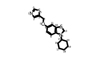 c1ncc(COc2ccc3c(c2)SCN3C2CCCCC2)s1